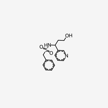 O=S(=O)(Cc1ccccc1)NC(CCO)c1cccnc1